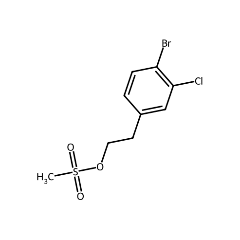 CS(=O)(=O)OCCc1ccc(Br)c(Cl)c1